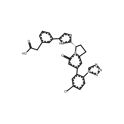 O=C(O)Cc1cccc(-c2cnc([C@@H]3CCc4cc(-c5cc(Cl)ccc5-n5cnnn5)cc(=O)n43)[nH]2)c1